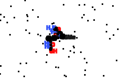 CSc1ccc2c(c1)CC[C@@H](NC(=O)C(C)(C)N)C(=O)N2Cc1ccc(-c2ccccc2CNC(=O)NCCO)cc1